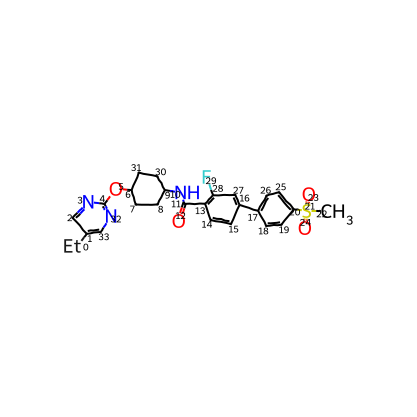 CCc1cnc(OC2CCC(NC(=O)c3ccc(-c4ccc(S(C)(=O)=O)cc4)cc3F)CC2)nc1